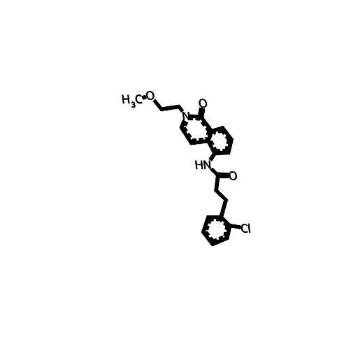 COCCn1ccc2c(NC(=O)CCc3ccccc3Cl)cccc2c1=O